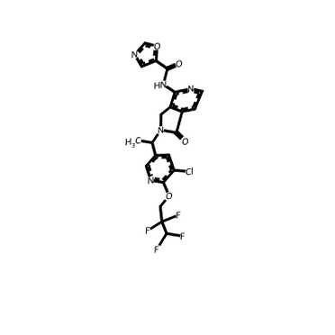 CC(c1cnc(OCC(F)(F)C(F)F)c(Cl)c1)N1Cc2c(ccnc2NC(=O)c2cnco2)C1=O